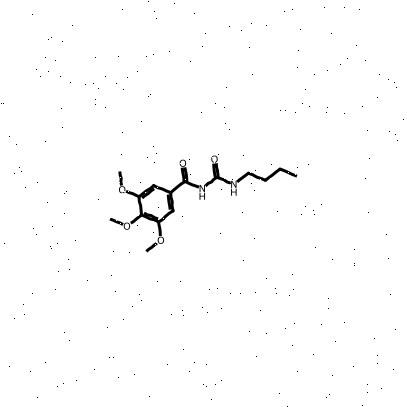 CCCCNC(=O)NC(=O)c1cc(OC)c(OC)c(OC)c1